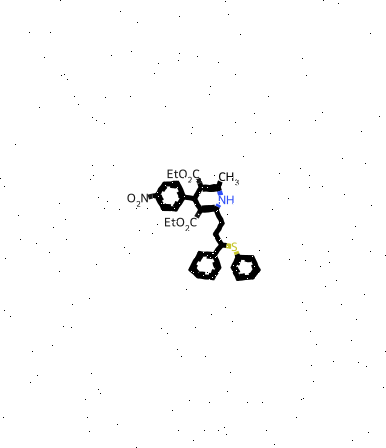 CCOC(=O)C1=C(C)NC(CCC(Sc2ccccc2)c2ccccc2)=C(C(=O)OCC)C1c1ccc([N+](=O)[O-])cc1